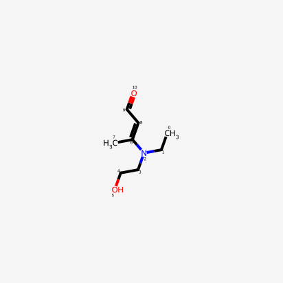 CCN(CCO)C(C)=CC=O